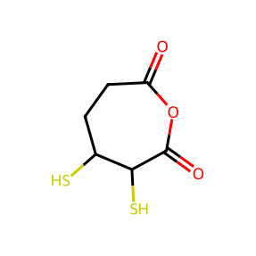 O=C1CCC(S)C(S)C(=O)O1